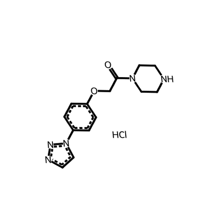 Cl.O=C(COc1ccc(-n2ccnn2)cc1)N1CCNCC1